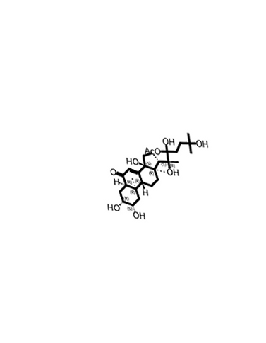 CC(=O)OC(O)(CCC(C)(C)O)[C@](C)(O)[C@H]1CC[C@@]2(O)C3=CC(=O)[C@@H]4C[C@@H](O)[C@@H](O)C[C@]4(C)[C@H]3CC[C@]12C